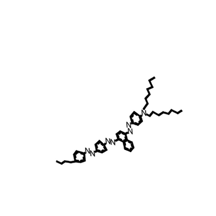 CCCCCCCCN(CCCCCCCC)c1ccc(N=Nc2ccc(N=Nc3ccc(N=Nc4ccc(CCCC)cc4)cc3)c3ccccc23)cc1